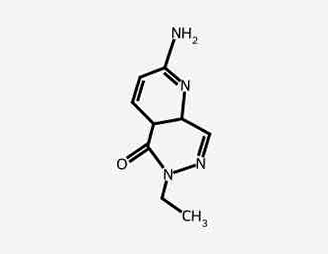 CCN1N=CC2N=C(N)C=CC2C1=O